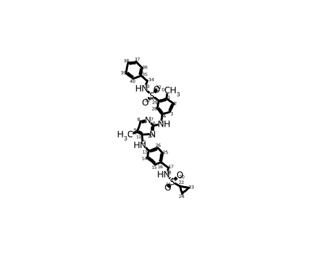 Cc1ccc(Nc2ncc(C)c(Nc3ccc(CNS(=O)(=O)C4CC4)cc3)n2)cc1S(=O)(=O)NCc1ccccc1